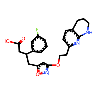 O=C(O)CC(Cc1cc(OCCc2ccc3c(n2)NCCC3)no1)c1cccc(F)c1